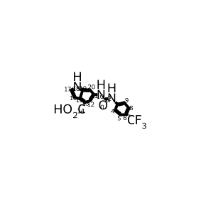 O=C(Nc1ccc(C(F)(F)F)cc1)Nc1cc(C(=O)O)c2cc[nH]c2c1